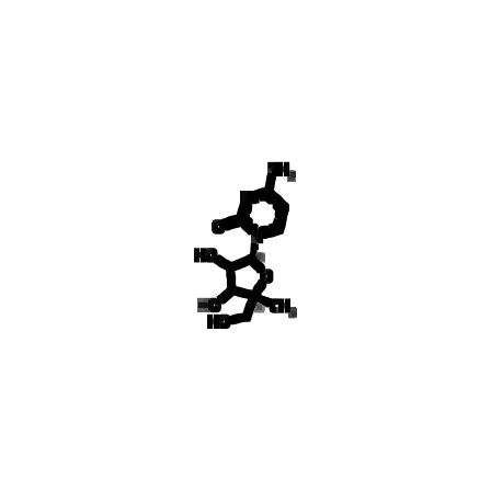 C[C@]1(CO)O[C@@H](n2ccc(N)nc2=O)C(O)C1O